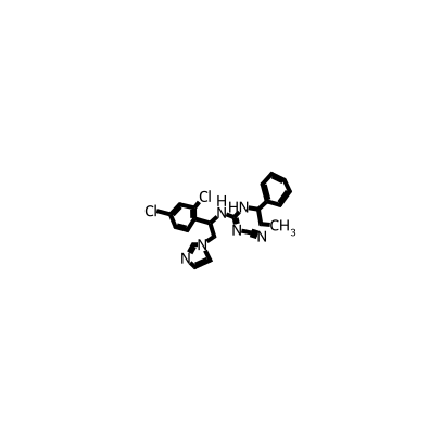 CCC(NC(=NC#N)NC(Cn1ccnc1)c1ccc(Cl)cc1Cl)c1ccccc1